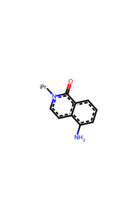 [CH2]C([CH2])n1ccc2c(N)cccc2c1=O